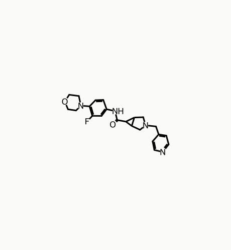 O=C(Nc1ccc(N2CCOCC2)c(F)c1)C1C2CN(Cc3ccncc3)CC21